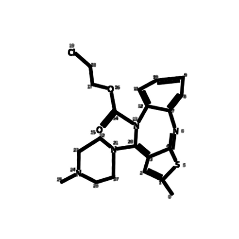 Cc1cc2c(s1)=Nc1ccccc1N(C(=O)OCCCl)C=2N1CCN(C)CC1